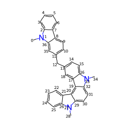 Cn1c2ccccc2c2ccc(Cc3ccc4c(c3)c3c5c6ccccc6n(C)c5ccc3n4C)cc21